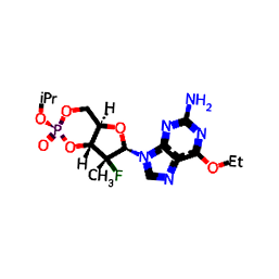 CCOc1nc(N)nc2c1ncn2[C@@H]1O[C@@H]2CO[P@](=O)(OC(C)C)O[C@H]2[C@@]1(C)F